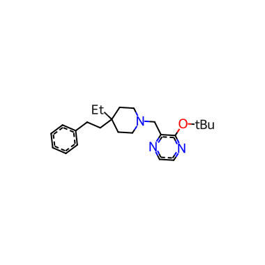 [CH2]CC1(CCc2ccccc2)CCN(Cc2nccnc2OC(C)(C)C)CC1